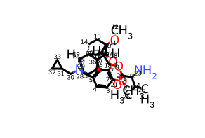 COc1ccc2c3c1O[C@H]1[C@@]4(OC)CC[C@@]5(C[C@@H]4COC(=O)C(N)C(C)C)[C@@H](C2)N(CC2CC2)CC[C@]315